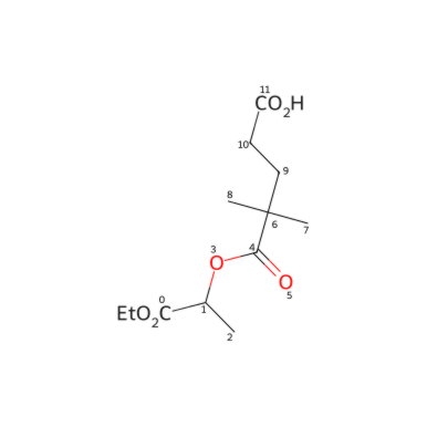 CCOC(=O)C(C)OC(=O)C(C)(C)CCC(=O)O